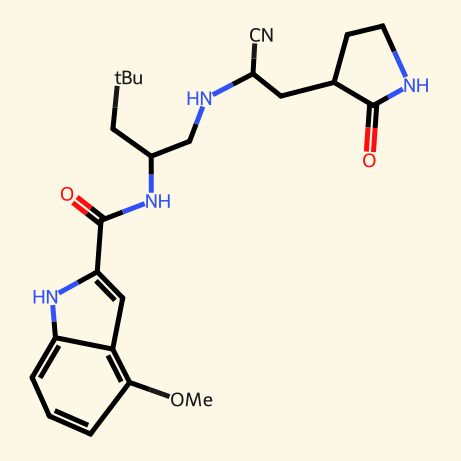 COc1cccc2[nH]c(C(=O)NC(CNC(C#N)CC3CCNC3=O)CC(C)(C)C)cc12